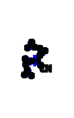 N#Cc1ccc(-c2cc(-c3ccc(-n4c5ccccc5c5ccc(-c6ccc7c(c6)c6ccccc6n7-c6ccccc6)cc54)cc3)nc(-c3ccc(-n4c5ccccc5c5ccc(-c6ccc7c(c6)c6ccccc6n7-c6ccccc6)cc54)cc3)n2)cc1